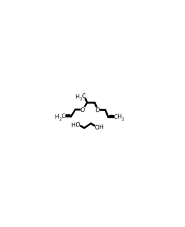 C=CCOCC(C)OCC=C.OCCO